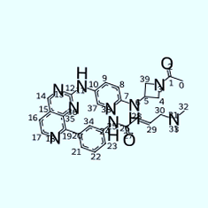 CC(=O)N1CC(Nc2ccc(Nc3ncc4ccnc(-c5cccc(NC(=O)C=CCN(C)C)c5)c4n3)cn2)C1